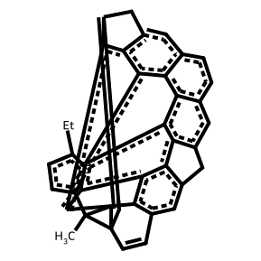 CCc1ccc(C2(C)C34C=Cc5cc6c7c8c5C32c2c3c5c(cc9ccc%10cc(c7c7c%10c9c5c7c28)C6)CC3=C4)s1